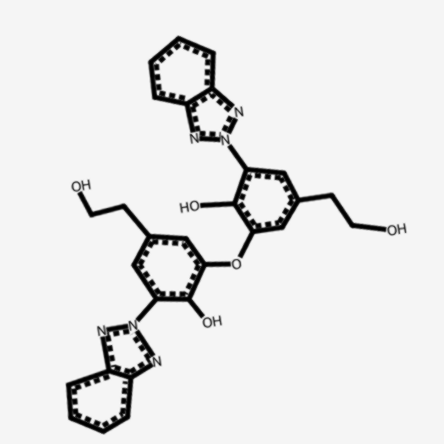 OCCc1cc(Oc2cc(CCO)cc(-n3nc4ccccc4n3)c2O)c(O)c(-n2nc3ccccc3n2)c1